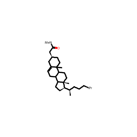 CNC(=O)C[C@H]1CCC2(C)C(=CCC3C2CC[C@@]2(C)C3CC[C@@H]2[C@H](C)CCCC(C)C)C1